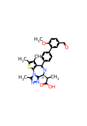 COc1ccc(C=O)cc1-c1ccc(C2=N[C@@H](C(C)C(=O)O)c3nnc(C)n3-c3sc(C)c(C)c32)cc1